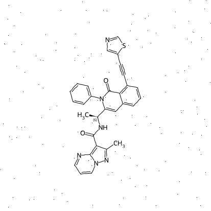 Cc1nn2cccnc2c1C(=O)N[C@@H](C)c1cc2cccc(C#Cc3cncs3)c2c(=O)n1-c1ccccc1